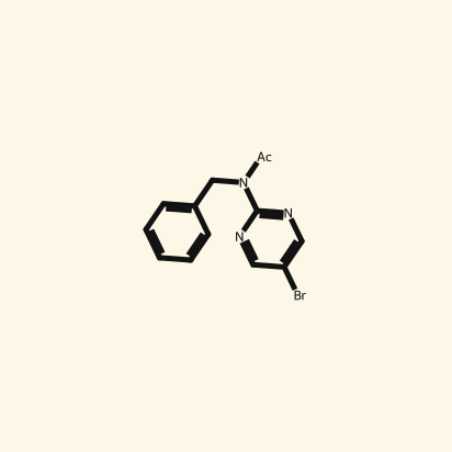 CC(=O)N(Cc1ccccc1)c1ncc(Br)cn1